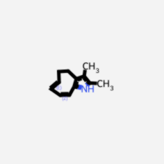 Cc1[nH]c2c(c1C)CC/C=C/C=C\2